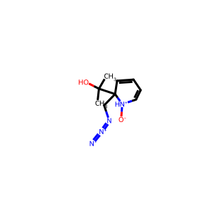 CC(C)(O)C1(CN=[N+]=[N-])C=CC=C[NH+]1[O-]